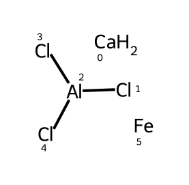 [CaH2].[Cl][Al]([Cl])[Cl].[Fe]